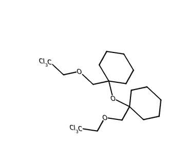 ClC(Cl)(Cl)COCC1(OC2(COCC(Cl)(Cl)Cl)CCCCC2)CCCCC1